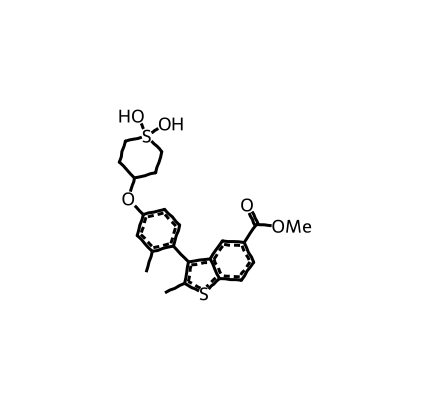 COC(=O)c1ccc2sc(C)c(-c3ccc(OC4CCS(O)(O)CC4)cc3C)c2c1